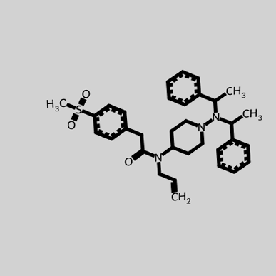 C=CCN(C(=O)Cc1ccc(S(C)(=O)=O)cc1)C1CCN(N(C(C)c2ccccc2)C(C)c2ccccc2)CC1